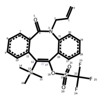 C=CCN1C(=O)c2ccccc2/C([Si](C)(C)C)=C(/OS(=O)(=O)C(F)(F)F)c2ccccc21